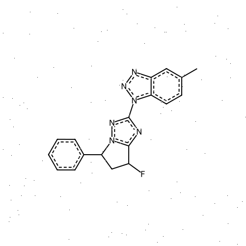 Cc1ccc2c(c1)nnn2-c1nc2n(n1)C(c1ccccc1)CC2F